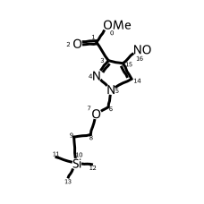 COC(=O)c1nn(COCC[Si](C)(C)C)cc1N=O